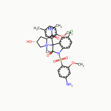 CNC(=O)[C@@H]1C[C@@H](O)C[N+]1(C)C1(c2cc(C)ccc2OC)C(=O)N(S(=O)(=O)c2ccc(N)cc2OC)c2ccc(Cl)cc21